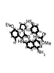 CCOc1ccc(F)c([C@H](Nc2ccc3c(N)nccc3c2)C(=O)N2CCC[C@@H]2c2cc(NC(=O)OC)ccc2S)c1